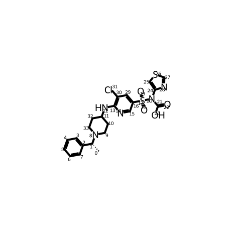 C[C@H](c1ccccc1)N1CCC(Nc2ncc(S(=O)(=O)N(C(=O)O)c3cscn3)cc2Cl)CC1